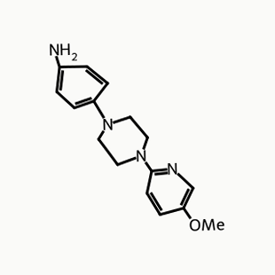 COc1ccc(N2CCN(c3ccc(N)cc3)CC2)nc1